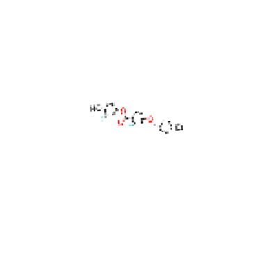 CC[C@H]1CC[C@H](COc2ccc(C(=O)Oc3ccc(C#N)c(F)c3)c(F)c2)CC1